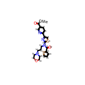 COC(=O)c1ccc(-c2csc(N(CCCN3CCOCC3)C(=O)c3cccs3)n2)nc1